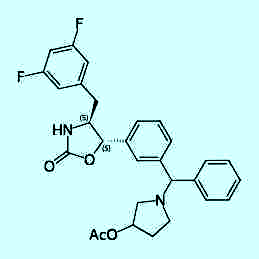 CC(=O)OC1CCN(C(c2ccccc2)c2cccc([C@@H]3OC(=O)N[C@H]3Cc3cc(F)cc(F)c3)c2)C1